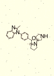 Cc1nc2ccccc2n1-c1ccc(C(=O)[C@]2(C)CCCN2[C@H]2CCNC2)cc1